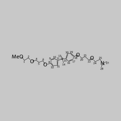 COCCOCCCOc1ccc(C(C)(C)c2ccc(OCCCOCCN(C)C)cc2)cc1